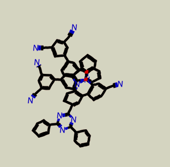 N#Cc1cc(C#N)cc(-c2ccc3c(c2)c2ccccc2n3-c2ccc(-c3nc(-c4ccccc4)nc(-c4ccccc4)n3)cc2-c2ccc(C#N)cc2-n2c3ccccc3c3cc(-c4cc(C#N)cc(C#N)c4)ccc32)c1